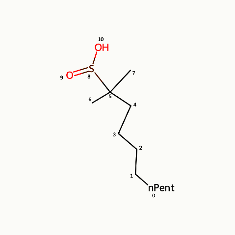 CCCCCCCCCC(C)(C)S(=O)O